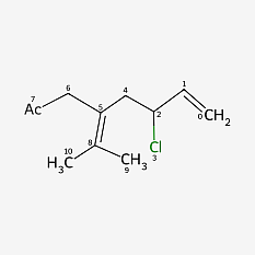 C=CC(Cl)CC(CC(C)=O)=C(C)C